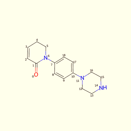 O=C1C=CCCN1c1ccc(N2CCNCC2)cc1